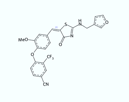 COc1cc(/C=C2/SC(NCc3ccoc3)=NC2=O)ccc1Oc1ccc(C#N)cc1C(F)(F)F